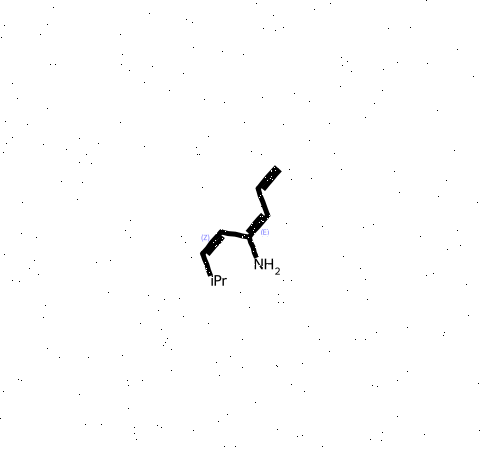 C=C/C=C(N)\C=C/C(C)C